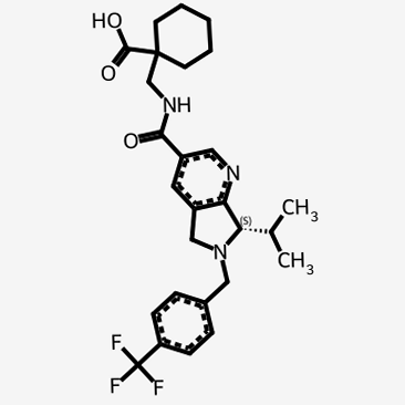 CC(C)[C@H]1c2ncc(C(=O)NCC3(C(=O)O)CCCCC3)cc2CN1Cc1ccc(C(F)(F)F)cc1